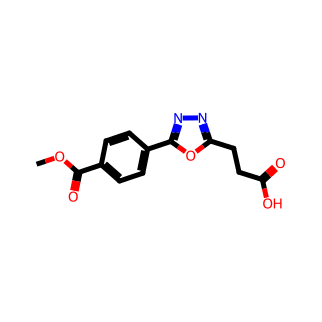 COC(=O)c1ccc(-c2nnc(CCC(=O)O)o2)cc1